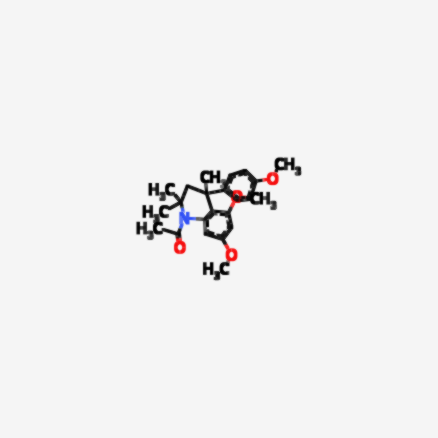 COc1ccc(C2(C)CC(C)(C)N(C(C)=O)c3cc(OC)cc(OC)c32)cc1